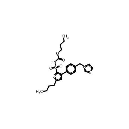 CCCCOC(=O)NS(=O)(=O)c1sc(CCCC)cc1-c1ccc(Cn2ccnc2)cc1